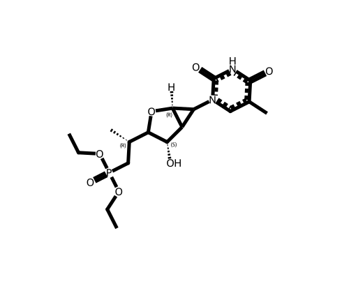 CCOP(=O)(C[C@H](C)C1O[C@@H]2C(C2n2cc(C)c(=O)[nH]c2=O)[C@@H]1O)OCC